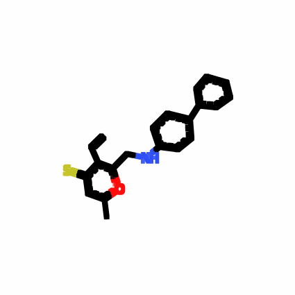 C=Cc1c(CNc2ccc(-c3ccccc3)cc2)oc(C)cc1=S